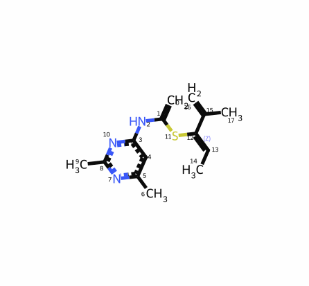 C=C(Nc1cc(C)nc(C)n1)S/C(=C\C)C(=C)C